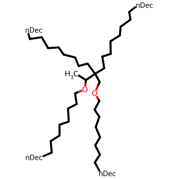 CCCCCCCCCCCCCCCCCCOCC(CCCCCCCCCCCCCCCCCC)(CCCCCCCCCCCCCCCCCC)C(C)OCCCCCCCCCCCCCCCCCC